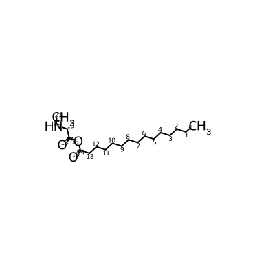 CCCCCCCCCCCCCCC(=O)OC(=O)CNC